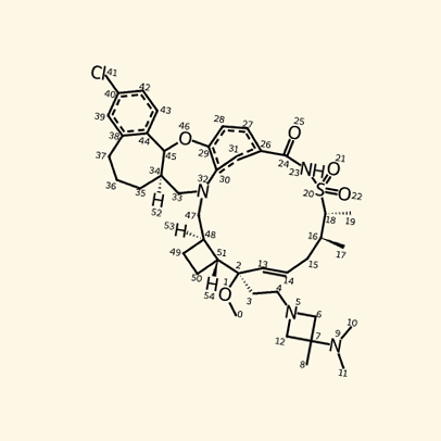 CO[C@]1(CCN2CC(C)(N(C)C)C2)/C=C/C[C@H](C)[C@@H](C)S(=O)(=O)NC(=O)c2ccc3c(c2)N(C[C@H]2CCCc4cc(Cl)ccc4C2O3)C[C@@H]2CC[C@H]21